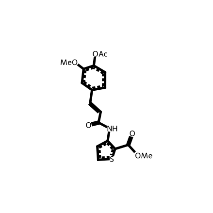 COC(=O)c1sccc1NC(=O)/C=C/c1ccc(OC(C)=O)c(OC)c1